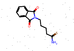 NC(=S)CCCCN1C(=O)c2ccccc2C1=O